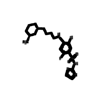 N[C@H]1CCCN(CCCCNc2cc(F)c(S(=O)(=O)Nc3nccs3)cc2Cl)C1